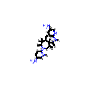 C=CC1C(C)(C)C(=C)N(C2C=CC(N)=CN2C)CC(=C)C1(C)C(=C)N(C)c1ccc(N)cn1